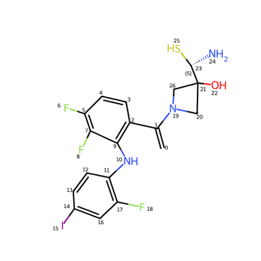 C=C(c1ccc(F)c(F)c1Nc1ccc(I)cc1F)N1CC(O)([C@@H](N)S)C1